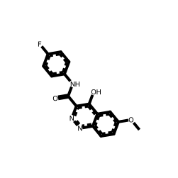 COc1ccc2nnc(C(=O)Nc3ccc(F)cc3)c(O)c2c1